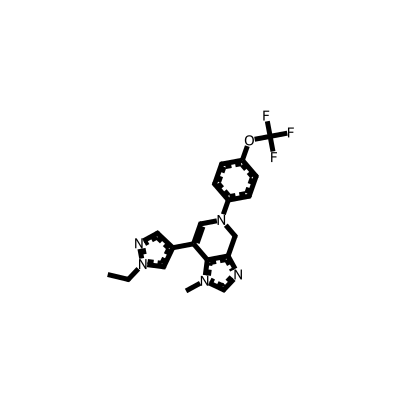 CCn1cc(C2=CN(c3ccc(OC(F)(F)F)cc3)Cc3ncn(C)c32)cn1